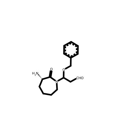 N[C@H]1CCCCN(C(CC=O)OCc2ccccc2)C1=O